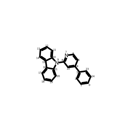 c1ccc(-c2ccnc(-n3c4ccccc4c4ccccc43)c2)cc1